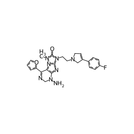 Cn1c(=O)n(CCN2CC=C(c3ccc(F)cc3)C2)c2nc3c(n21)C(c1ccco1)=NCN3N